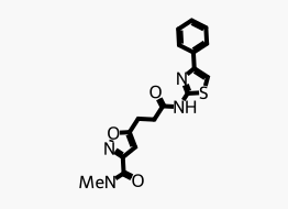 CNC(=O)c1cc(CCC(=O)Nc2nc(-c3ccccc3)cs2)on1